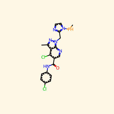 CPn1ccnc1Cn1nc(C)c2c(Cl)c(C(=O)Nc3ccc(Cl)cc3)cnc21